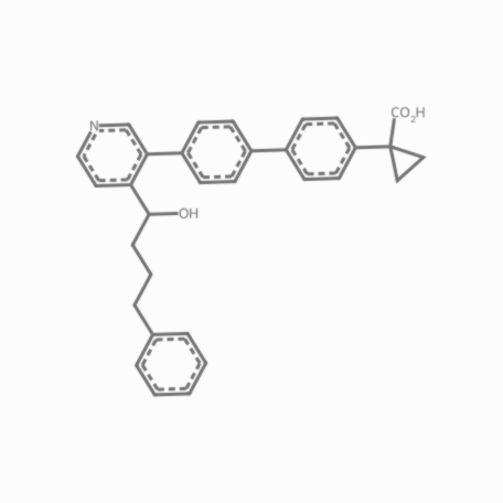 O=C(O)C1(c2ccc(-c3ccc(-c4cnccc4C(O)CCCc4ccccc4)cc3)cc2)CC1